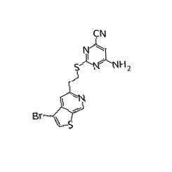 N#Cc1cc(N)nc(SCCc2cc3c(Br)csc3cn2)n1